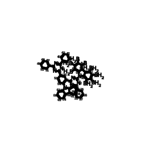 Bc1c(B)c(B)c2c(c1B)c1c(B)c(B)c(B)c(B)c1n2-c1nc(-c2ccccc2)nc(-c2cc(-c3nc(-c4ccccc4)nc(-c4ccccc4)n3)ccc2-n2c3ccccc3c3ccccc32)n1